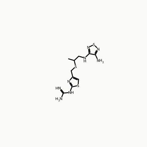 CC(CNc1nsnc1N)SCc1csc(NC(=N)N)n1